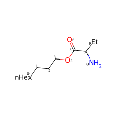 CCCCCCCCCOC(=O)C(N)CC